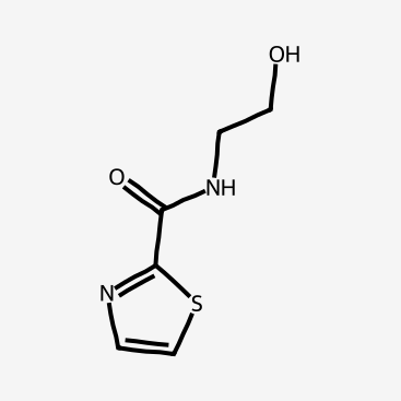 O=C(NCCO)c1nccs1